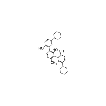 Cc1ccc(-c2cc(C3CCCCC3)ccc2O)c(O)c1-c1cc(C2CCCCC2)ccc1O